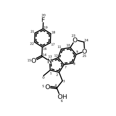 Cc1c(CC(=O)O)c2cc3c(cc2n1C(=O)c1ccc(F)cc1)OCO3